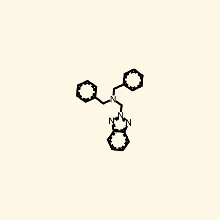 c1ccc(CN(Cc2ccccc2)Cn2nc3ccccc3n2)cc1